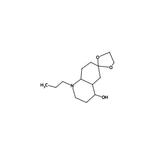 CCCN1CCC(O)C2CC3(CCC21)OCCO3